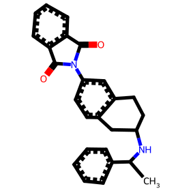 CC(NC1CCc2cc(N3C(=O)c4ccccc4C3=O)ccc2C1)c1ccccc1